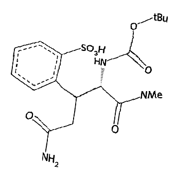 CNC(=O)[C@@H](NC(=O)OC(C)(C)C)C(CC(N)=O)c1ccccc1S(=O)(=O)O